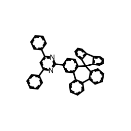 c1ccc(-c2cc(-c3ccccc3)nc(-c3ccc4c(c3)-c3ccccc3-c3ccccc3C43c4ccccc4-c4ccccc43)n2)cc1